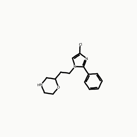 Clc1cn(CCC2CNCCO2)c(-c2ccccc2)n1